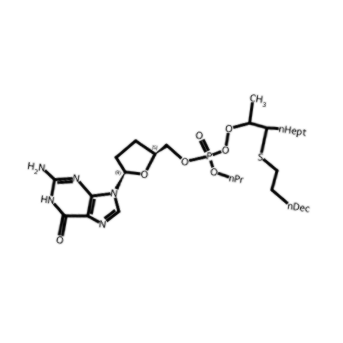 CCCCCCCCCCCCSC(CCCCCCC)C(C)OOP(=O)(OCCC)OC[C@@H]1CC[C@H](n2cnc3c(=O)[nH]c(N)nc32)O1